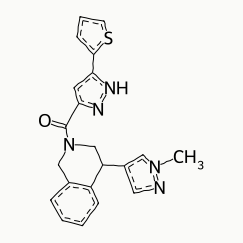 Cn1cc(C2CN(C(=O)c3cc(-c4cccs4)[nH]n3)Cc3ccccc32)cn1